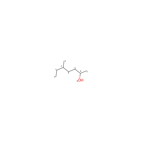 CCC(C)CCC(C)O